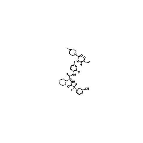 C=CC(=O)N[C@H](Cc1ccc(NC(=O)[C@@H](NC(=O)C(F)(F)c2cccc(C#N)c2)C2CCCCC2)c(F)c1)C(=O)N1CCN(C)CC1